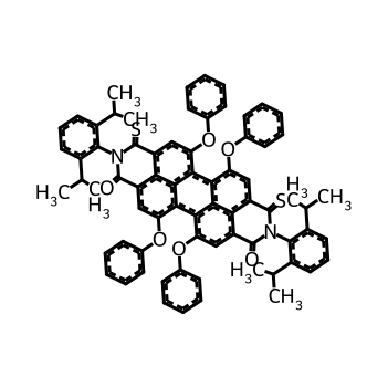 CC(C)c1cccc(C(C)C)c1N1C(=O)c2cc(Oc3ccccc3)c3c4c(Oc5ccccc5)cc5c6c(cc(Oc7ccccc7)c(c7c(Oc8ccccc8)cc(c2c37)C1=S)c64)C(=S)N(c1c(C(C)C)cccc1C(C)C)C5=O